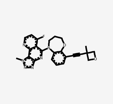 Cn1nnc2nc(N3CCCOc4c(C#CC5(C)COC5)cccc43)c3c(F)ccnc3c21